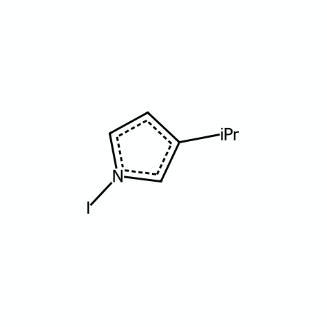 CC(C)c1ccn(I)c1